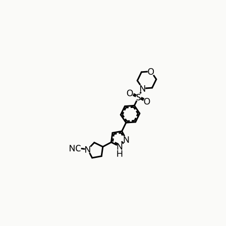 N#CN1CCC(c2cc(-c3ccc(S(=O)(=O)N4CCOCC4)cc3)n[nH]2)C1